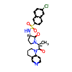 C[C@@H](C(=O)N1CCCc2cnccc21)N1CC[C@H](NS(=O)(=O)c2ccc3cc(Cl)ccc3c2)C1=O